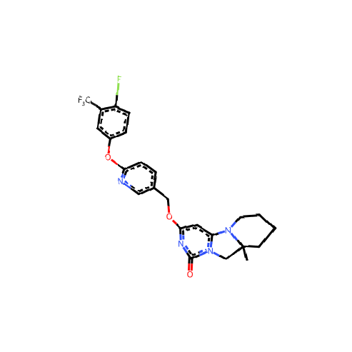 CC12CCCCN1c1cc(OCc3ccc(Oc4ccc(F)c(C(F)(F)F)c4)nc3)nc(=O)n1C2